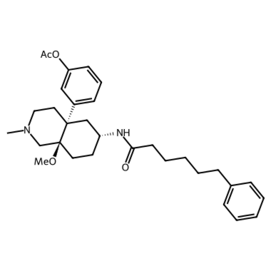 CO[C@]12CC[C@@H](NC(=O)CCCCCc3ccccc3)C[C@]1(c1cccc(OC(C)=O)c1)CCN(C)C2